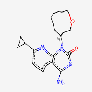 Nc1nc(=O)n([C@H]2CCCCOC2)c2nc(C3CC3)ccc12